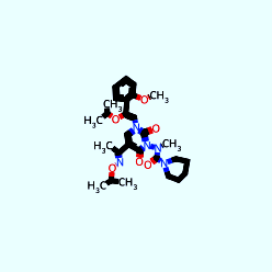 COc1ccccc1/C(=C/n1cc(/C(C)=N/OC(C)C)c(=O)n(N(C)C(=O)N2CCCCC2)c1=O)OC(C)C